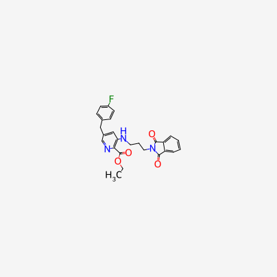 CCOC(=O)c1ncc(Cc2ccc(F)cc2)cc1NCCCN1C(=O)c2ccccc2C1=O